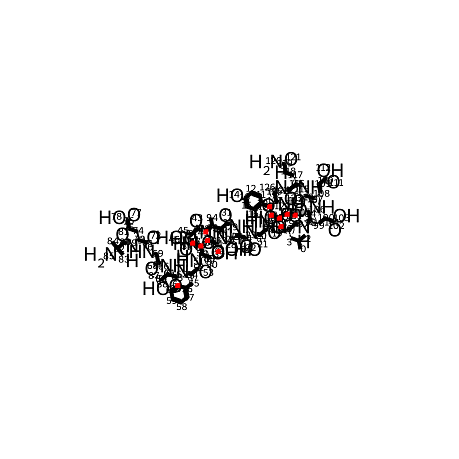 CC(C)C[C@H](NC(=O)[C@H](Cc1ccc(O)cc1)NC(=O)[C@H](CO)NC(=O)[C@H](CO)NC(=O)[C@@H](NC(=O)[C@H](CC(=O)O)NC(=O)[C@H](CO)NC(=O)[C@@H](NC(=O)[C@H](Cc1ccccc1)NC(=O)[C@@H](NC(=O)CNC(=O)[C@H](CCC(=O)O)NC(=O)C(C)(C)N)[C@@H](C)O)[C@@H](C)O)C(C)C)C(=O)N[C@@H](CCC(=O)O)C(=O)N[C@@H](CCC(=O)O)C(=O)N[C@@H](CCC(N)=O)C(=O)N[C@@H](C)C(=O)N[C@@H](C)C(=O)O